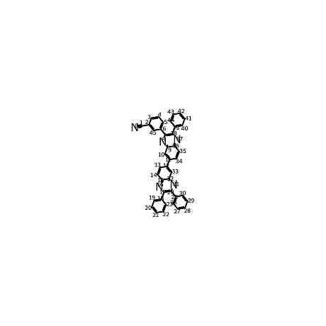 N#Cc1cccc(-c2nc3cc(-c4ccc5nc(-c6ccccc6)c(-c6ccccc6)nc5c4)ccc3nc2-c2ccccc2)c1